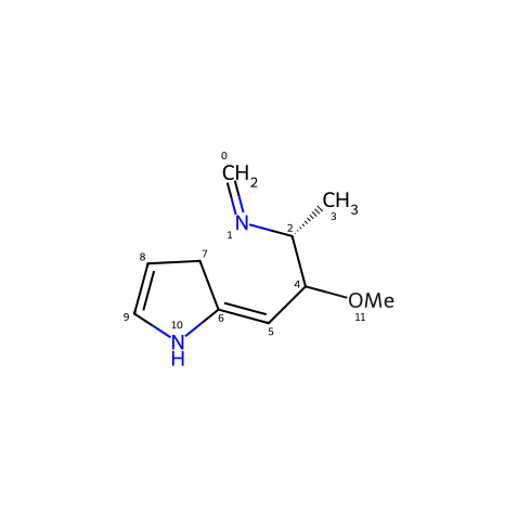 C=N[C@H](C)C(/C=C1\CC=CN1)OC